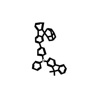 CC1(C)c2ccccc2-c2ccc(N(c3ccccc3)c3ccc(-c4ccc5c(c4)C4(c6ccccc6-5)C5CC6CC(C5)CC4C6)cc3)cc21